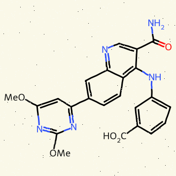 COc1cc(-c2ccc3c(Nc4cccc(C(=O)O)c4)c(C(N)=O)cnc3c2)nc(OC)n1